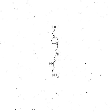 NCCNCCNCCN1CCN(CCO)CC1